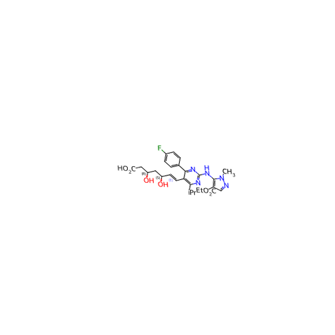 CCOC(=O)c1cnn(C)c1Nc1nc(-c2ccc(F)cc2)c(/C=C/[C@@H](O)C[C@@H](O)CC(=O)O)c(C(C)C)n1